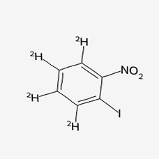 [2H]c1c([2H])c([2H])c([N+](=O)[O-])c(I)c1[2H]